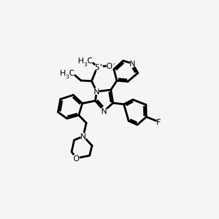 CCC(n1c(-c2ccccc2CN2CCOCC2)nc(-c2ccc(F)cc2)c1-c1ccncc1)[S+](C)[O-]